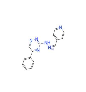 C(=N/Nc1nncc(-c2ccccc2)n1)/c1ccncc1